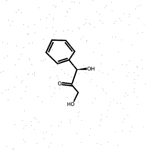 O=C(CO)[C@H](O)c1ccccc1